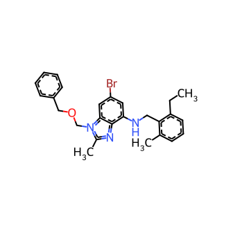 CCc1cccc(C)c1CNc1cc(Br)cc2c1nc(C)n2COCc1ccccc1